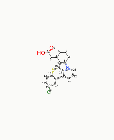 O=C(O)CC1CCCc2c1c(Sc1ccc(Cl)cc1)c1ccccn21